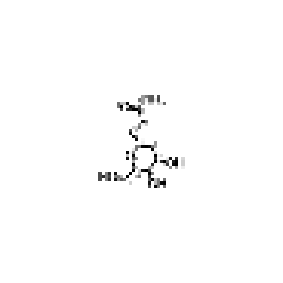 NC(=O)CO[C@H]1C[C@@H](O)C(O)C(CO)O1